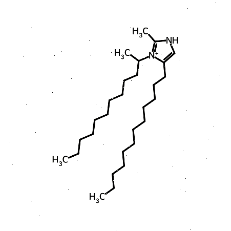 CCCCCCCCCCCCc1c[nH]c(C)[n+]1C(C)CCCCCCCCCC